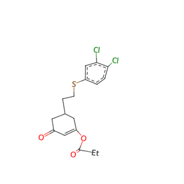 CCC(=O)OC1=CC(=O)CC(CCSc2ccc(Cl)c(Cl)c2)C1